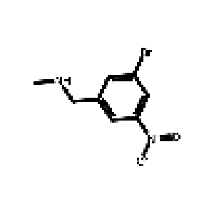 CNCc1cc(Br)cc([N+](=O)[O-])c1